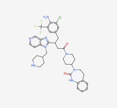 Nc1c(Cl)cc(CC(CC(=O)N2CCC(N3CCc4ccccc4NC3=O)CC2)c2nc3cnccc3n2CC2CCNCC2)cc1C(F)(F)F